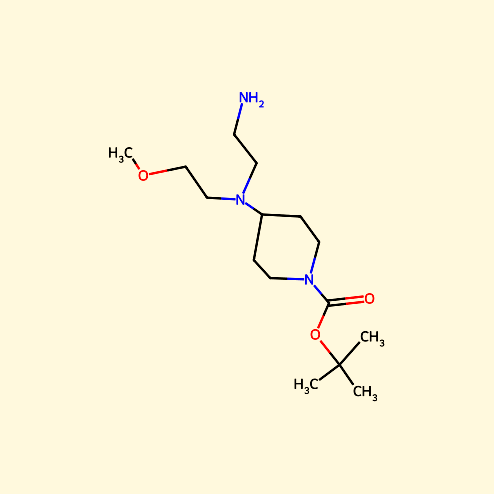 COCCN(CCN)C1CCN(C(=O)OC(C)(C)C)CC1